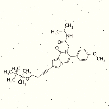 COc1ccc(-c2cn3cc(C#CCCO[Si](C)(C)C(C)(C)C)cc3c(=O)n2CC(=O)NC(C)C)cc1